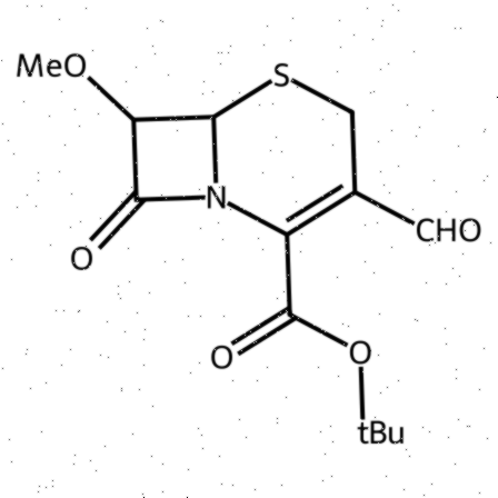 COC1C(=O)N2C(C(=O)OC(C)(C)C)=C(C=O)CSC12